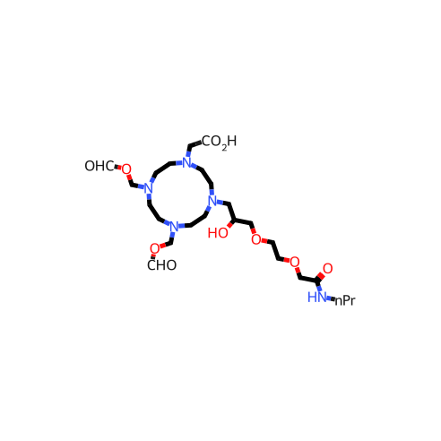 CCCNC(=O)COCCOCC(O)CN1CCN(COC=O)CCN(COC=O)CCN(CC(=O)O)CC1